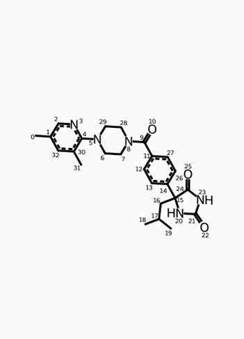 Cc1cnc(N2CCN(C(=O)c3ccc(C4(CC(C)C)NC(=O)NC4=O)cc3)CC2)c(C)c1